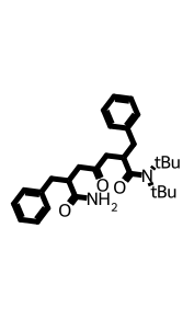 CC(C)(C)N(C(=O)C(CC(=O)CC(Cc1ccccc1)C(N)=O)Cc1ccccc1)C(C)(C)C